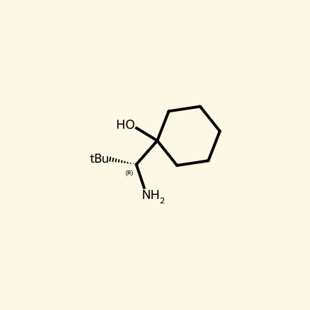 CC(C)(C)[C@@H](N)C1(O)CCCCC1